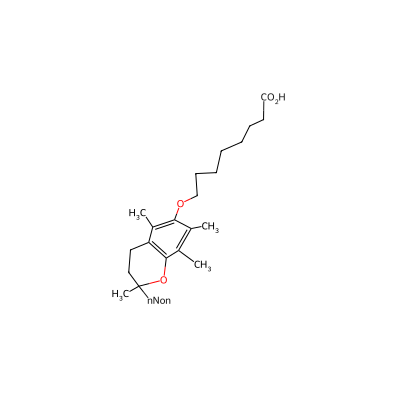 CCCCCCCCCC1(C)CCc2c(C)c(OCCCCCCCC(=O)O)c(C)c(C)c2O1